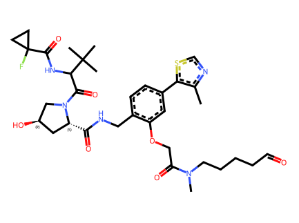 Cc1ncsc1-c1ccc(CNC(=O)[C@@H]2C[C@@H](O)CN2C(=O)C(NC(=O)C2(F)CC2)C(C)(C)C)c(OCC(=O)N(C)CCCCC=O)c1